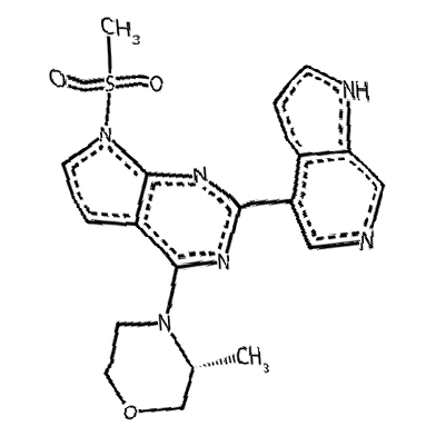 C[C@@H]1COCCN1c1nc(-c2cncc3[nH]ccc23)nc2c1ccn2S(C)(=O)=O